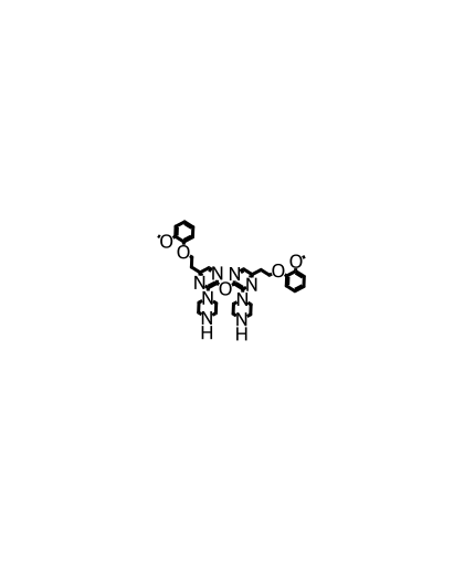 COc1ccccc1OCCc1cnc(Oc2ncc(CCOc3ccccc3OC)nc2N2CCNCC2)c(N2CCNCC2)n1